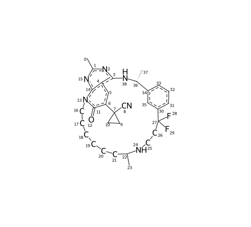 Cc1nc2c3cc(C4(C#N)CC4)c(=O)n(c3n1)CCCCCCC(C)NCCC(F)(F)c1cccc(c1)[C@@H](C)N2